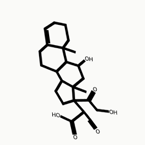 CC12CCCC=C1CCC1C2C(O)CC2(C)C1CCC2(C(=O)CO)C(C=O)C(=O)O